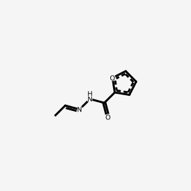 C/C=N/NC(=O)c1ccco1